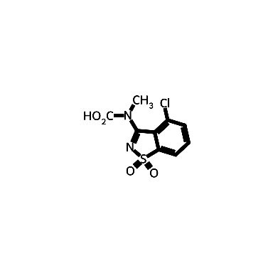 CN(C(=O)O)C1=NS(=O)(=O)c2cccc(Cl)c21